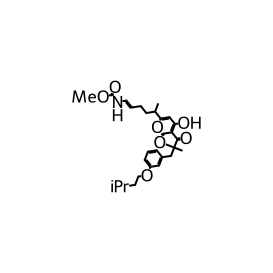 COC(=O)N/C=C/CCC(C)c1cc(O)c(C(=O)C(C)(C)Cc2cccc(OCCC(C)C)c2)c(=O)o1